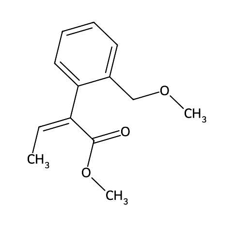 C/C=C(\C(=O)OC)c1ccccc1COC